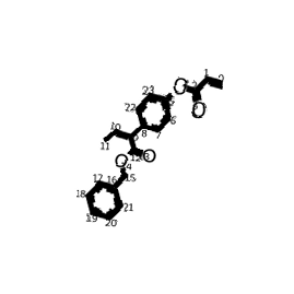 C=CC(=O)Oc1ccc(C(=CC)C(=O)OCc2ccccc2)cc1